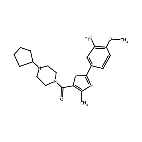 COc1ccc(-c2nc(C)c(C(=O)N3CCN(C4CCCC4)CC3)s2)cc1C